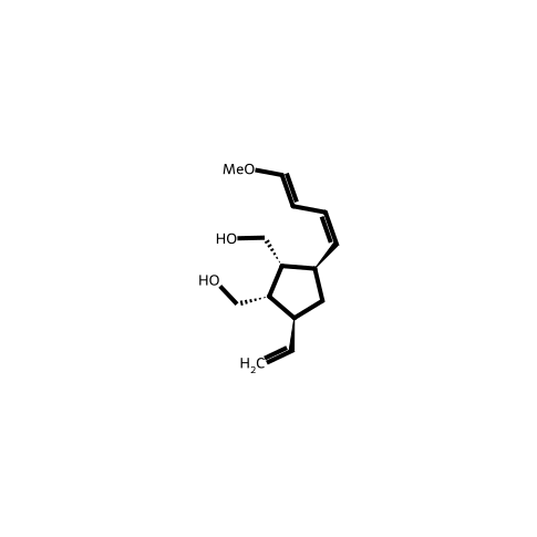 C=C[C@@H]1C[C@H](/C=C\C=C\OC)[C@@H](CO)[C@H]1CO